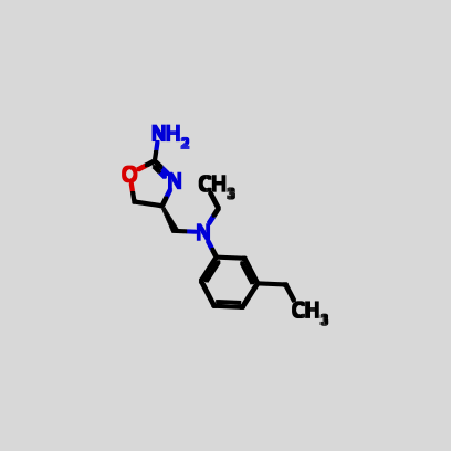 CCc1cccc(N(CC)C[C@H]2COC(N)=N2)c1